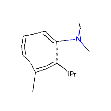 Cc1cccc(N(C)C)c1C(C)C